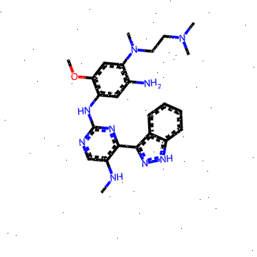 CNc1cnc(Nc2cc(N)c(N(C)CCN(C)C)cc2OC)nc1-c1n[nH]c2ccccc12